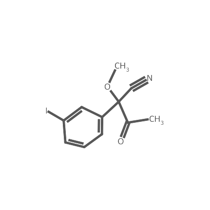 COC(C#N)(C(C)=O)c1cccc(I)c1